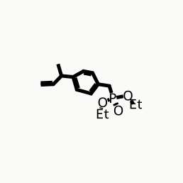 C=CC(C)c1ccc(CP(=O)(OCC)OCC)cc1